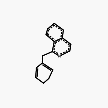 C1=CC(Cc2nccc3ccccc23)=CCC1